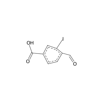 O=Cc1ccc(C(=O)O)cc1I